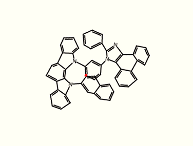 c1ccc(-c2nc3c4ccccc4c4ccccc4c3n2-c2cccc(-n3c4ccccc4c4ccc5c6ccccc6n(-c6ccc7ccccc7c6)c5c43)c2)cc1